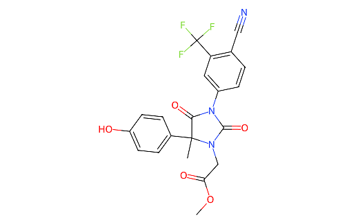 COC(=O)CN1C(=O)N(c2ccc(C#N)c(C(F)(F)F)c2)C(=O)C1(C)c1ccc(O)cc1